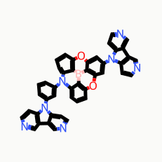 c1cc(N2c3cccc4c3B3c5c(cc(-n6c7ccncc7c7cnccc76)cc5Oc5cccc2c53)O4)cc(-n2c3ccncc3c3cnccc32)c1